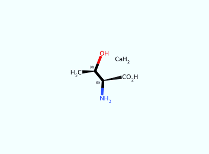 C[C@@H](O)[C@H](N)C(=O)O.[CaH2]